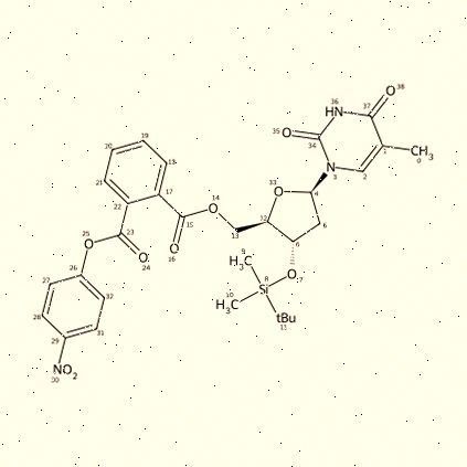 Cc1cn([C@H]2C[C@H](O[Si](C)(C)C(C)(C)C)[C@@H](COC(=O)c3ccccc3C(=O)Oc3ccc([N+](=O)[O-])cc3)O2)c(=O)[nH]c1=O